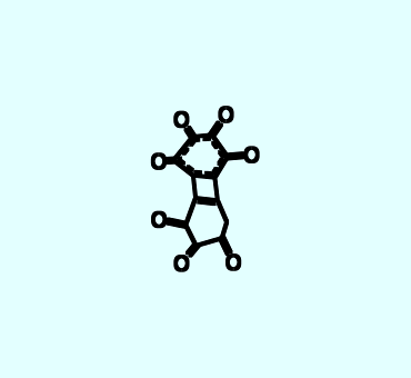 O=C1CC2=C(C(=O)C1=O)c1c2c(=O)c(=O)c(=O)c1=O